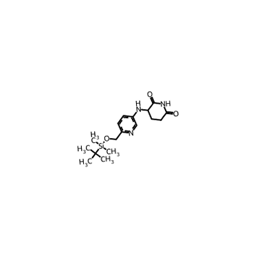 CC(C)(C)[Si](C)(C)OCc1ccc(NC2CCC(=O)NC2=O)cn1